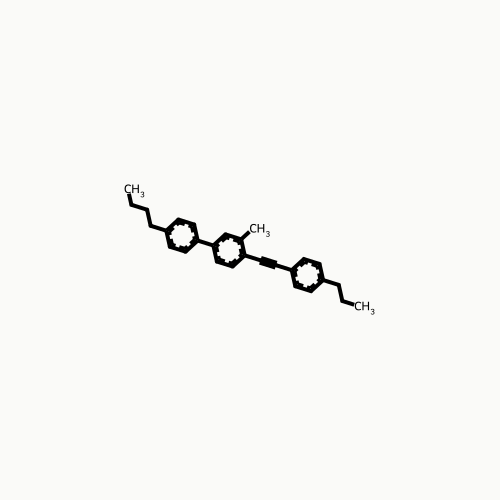 CCCCc1ccc(-c2ccc(C#Cc3ccc(CCC)cc3)c(C)c2)cc1